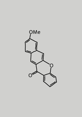 COc1ccc2cc3c(=O)c4ccccc4oc3cc2c1